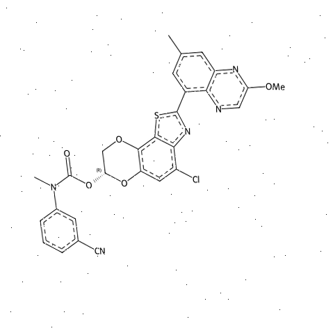 COc1cnc2c(-c3nc4c(Cl)cc5c(c4s3)OC[C@@H](OC(=O)N(C)c3cccc(C#N)c3)O5)cc(C)cc2n1